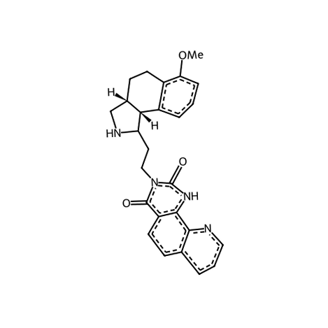 COc1cccc2c1CC[C@H]1CNC(CCn3c(=O)[nH]c4c(ccc5cccnc54)c3=O)[C@@H]21